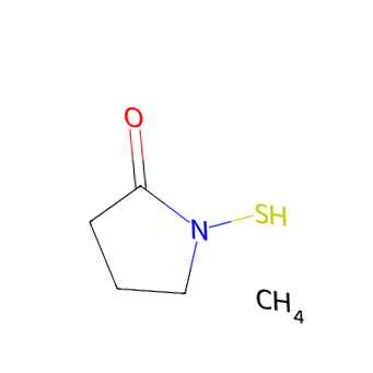 C.O=C1CCCN1S